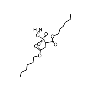 CCCCCCOC(=O)CC(C(=O)OCCCCCC)S(=O)(=O)ON